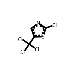 Clc1ncc(C(Cl)(Cl)Cl)s1